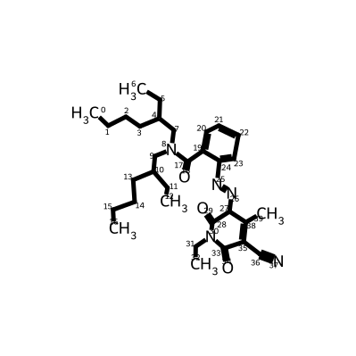 CCCCC(CC)CN(CC(CC)CCCC)C(=O)c1ccccc1/N=N/C1C(=O)N(CC)C(=O)C(C#N)=C1C